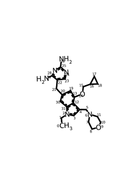 CCn1cc(CN2CCOCC2)c2c(OCC3CC3)cc(Cc3cnc(N)nc3N)cc21